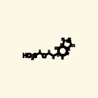 O=S(=O)(O)COCCc1ccc2c(c1)CSC2